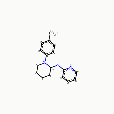 O=C(O)c1ccc(N2CCCCC2Nc2ccccn2)cc1